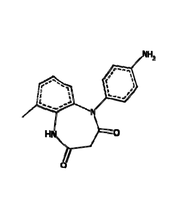 Cc1cccc2c1NC(=O)CC(=O)N2c1ccc(N)cc1